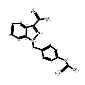 C=C(C)Oc1ccc(Cn2nc(C(=N)N)c3ccccc32)cc1